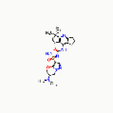 CN(C)C1COc2c(S(N)(=O)=NC(=O)Nc3c4c(nc5c3CCC5(C)C)CCC4)cnn2C1